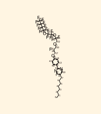 CCCCCCCCc1cnc(-c2ccc(OC[C@H](F)COCC(F)(F)OC(F)(F)C(F)(F)OC(F)(F)C(F)(F)C(F)(F)C(F)(F)F)cc2)nc1